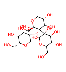 OC[C@H]1O[C@H](O)[C@@](O)([C@]2(O[C@@]3(O)CO[C@H](CO)[C@H](O)[C@@H]3O)[C@H](O)[C@@H](O)CO[C@@H]2CO)[C@@H](O)[C@@H]1O